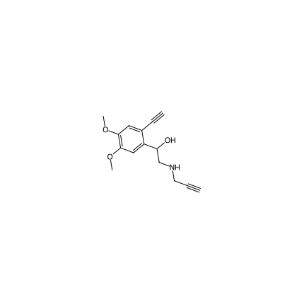 C#CCNCC(O)c1cc(OC)c(OC)cc1C#C